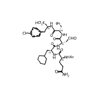 CC(=O)N[C@@H](CCC(N)=O)C(=O)N[C@@H](CC1CCCCC1)C(=O)N[C@@H](CC=O)C(=O)N[C@@H](CC(C)C)C(=O)N[C@@H](Cc1ccc(Cl)cc1)C(=O)O